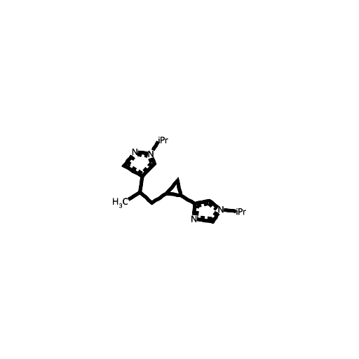 CC(CC1CC1c1cn(C(C)C)cn1)c1cnn(C(C)C)c1